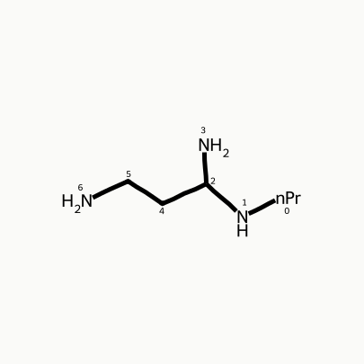 CCCNC(N)CCN